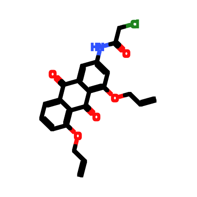 C=CCOc1cccc2c1C(=O)c1c(OCC=C)cc(NC(=O)CCl)cc1C2=O